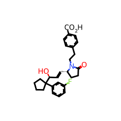 O=C(O)c1ccc(CCN2C(=O)CC[C@@H]2C=C[C@H](O)C2(c3cccc(F)c3)CCCC2)cc1